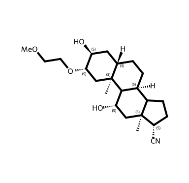 COCCO[C@H]1C[C@]2(C)C3[C@@H](CC[C@H]2C[C@@H]1O)C1CC[C@H](C#N)[C@@]1(C)C[C@@H]3O